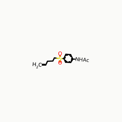 C=CCCCS(=O)(=O)c1ccc(NC(C)=O)cc1